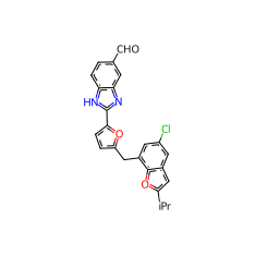 CC(C)c1cc2cc(Cl)cc(Cc3ccc(-c4nc5cc(C=O)ccc5[nH]4)o3)c2o1